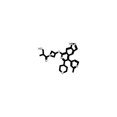 Cc1cc(-c2c(C3CCOCC3)nc(OC3CN(C(=O)C(C)CO)C3)c3cc4[nH]ncc4cc23)ccn1